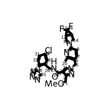 COCc1nn(Cc2ccc(N3CC4C(C3)C4(F)F)nc2C)cc1C(=O)NCc1cc(Cl)ccc1-n1cnnn1